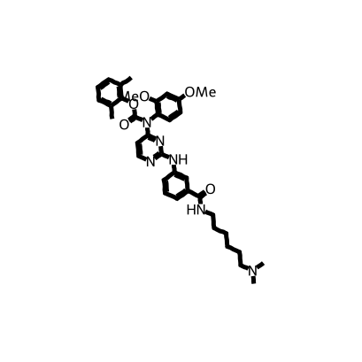 COc1ccc(N(C(=O)Oc2c(C)cccc2C)c2ccnc(Nc3cccc(C(=O)NCCCCCCN(C)C)c3)n2)c(OC)c1